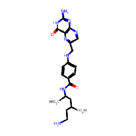 NCCC(CC(NC(=O)c1ccc(NCc2cnc3nc(N)[nH]c(=O)c3n2)cc1)C(=O)O)C(=O)O